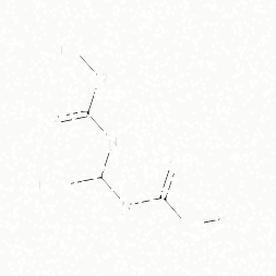 CC(C)(C)OC(=O)NC(NC(=O)NS)C(=O)O